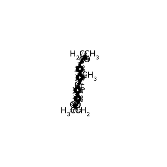 C=C(C)C(=O)OCCc1ccc(-c2ccc(COc3ccc(-c4ccc(OC(=O)C(=C)C)cc4)cc3F)cc2C)cc1